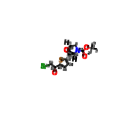 CC(C)(C)OC(=O)N1C[C@H]2C[C@@H]1[C@H](c1ccc(C(=O)CBr)s1)O2